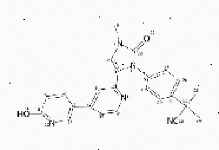 Cn1cc(-c2cc(-c3ccc(O)nc3)ccn2)n(-c2ccc(C(C)(C)C#N)cc2)c1=O